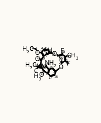 CCOc1ccc2c(C)c1C(=O)C1C(C(=O)c3ccc(cc3C(=N)N)Oc3nc(c(F)c(C)c3F)O2)C1(C)C